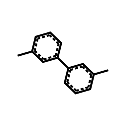 Cc1cccc(-c2cccc(C)c2)c1